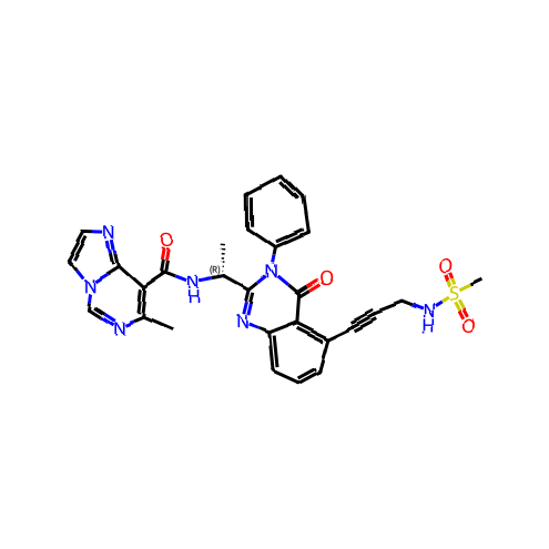 Cc1ncn2ccnc2c1C(=O)N[C@H](C)c1nc2cccc(C#CCNS(C)(=O)=O)c2c(=O)n1-c1ccccc1